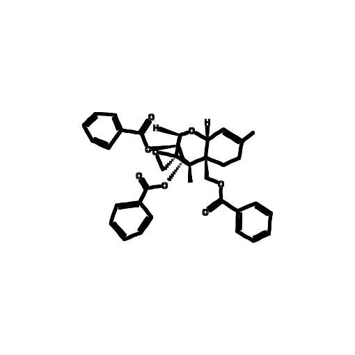 CC1=C[C@H]2O[C@@H]3[C@H](OC(=O)c4ccccc4)[C@@H](OC(=O)c4ccccc4)[C@](C)([C@@]2(COC(=O)c2ccccc2)CC1)[C@]31CO1